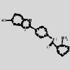 Nc1ccccc1C(=O)Nc1ccc(-c2nc3ccc(O)cc3s2)cc1